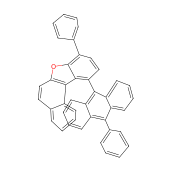 c1ccc(-c2c3ccccc3c(-c3ccc(-c4ccccc4)c4oc5ccc6ccccc6c5c34)c3ccccc23)cc1